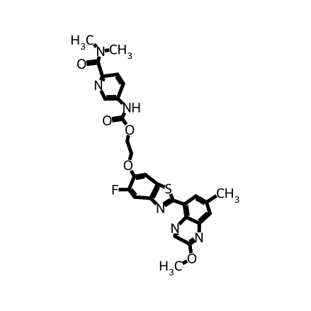 COc1cnc2c(-c3nc4cc(F)c(OCCOC(=O)Nc5ccc(C(=O)N(C)C)nc5)cc4s3)cc(C)cc2n1